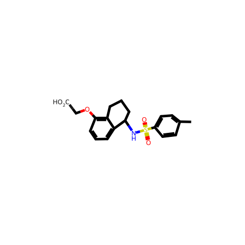 Cc1ccc(S(=O)(=O)NC2CCCc3c(OCC(=O)O)cccc32)cc1